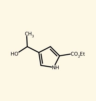 CCOC(=O)c1cc(C(C)O)c[nH]1